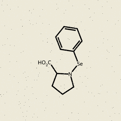 O=C(O)C1CCCN1[Se]c1ccccc1